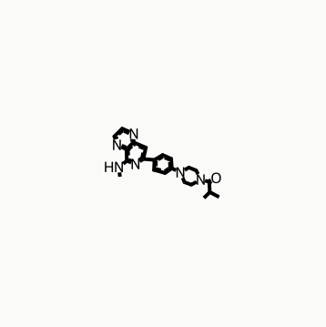 CNc1nc(-c2ccc(N3CCN(C(=O)C(C)C)CC3)cc2)cc2nccnc12